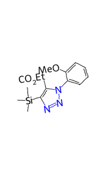 CCOC(=O)c1c([Si](C)(C)C)nnn1-c1ccccc1OC